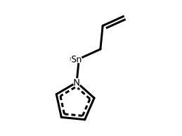 C=C[CH2][Sn][n]1cccc1